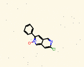 [O-][n+]1cc2cc(Cl)ncc2cc1-c1ccccc1